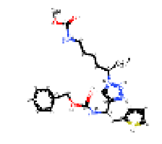 CC(C)(C)OC(=O)NCCCC[C@@H](C(=O)O)n1cc([C@H](Cc2cccs2)NC(=O)OCc2ccccc2)nn1